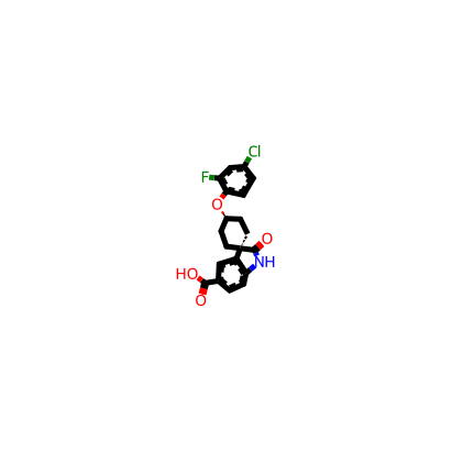 O=C(O)c1ccc2c(c1)[C@]1(CC[C@@H](Oc3ccc(Cl)cc3F)CC1)C(=O)N2